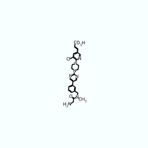 CN(Cc1cccc(-c2cnc(N3CCN(c4ncc(/C=C/C(=O)O)cc4Cl)CC3)nc2)c1)C(=O)CN